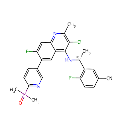 Cc1nc2cc(F)c(-c3ccc(P(C)(C)=O)nc3)cc2c(N[C@H](C)c2cc(C#N)ccc2F)c1Cl